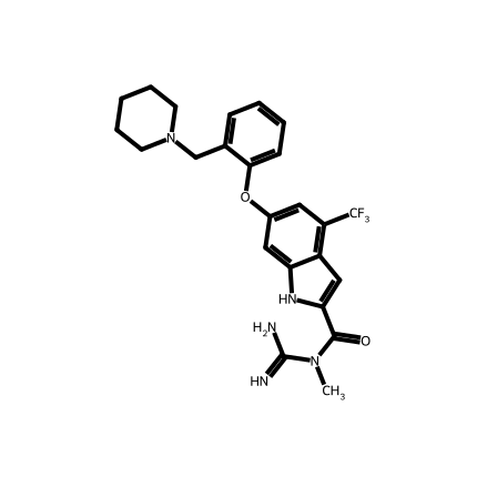 CN(C(=N)N)C(=O)c1cc2c(C(F)(F)F)cc(Oc3ccccc3CN3CCCCC3)cc2[nH]1